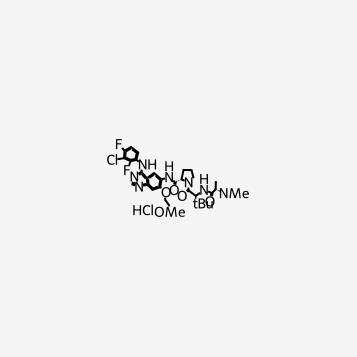 CN[C@@H](C)C(=O)N[C@H](C(=O)N1CCC[C@H]1C(=O)Nc1cc2c(Nc3ccc(F)c(Cl)c3F)ncnc2cc1OCCOC)C(C)(C)C.Cl